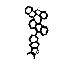 Cc1oc2cc3cc(-c4c5ccccc5c(-c5cccc6oc7c8ccccc8ccc7c56)c5ccccc45)ccc3cc2c1C